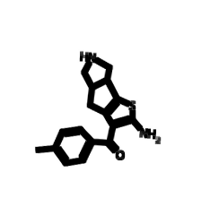 Cc1ccc(C(=O)c2c(N)sc3c2CC2CNCC32)cc1